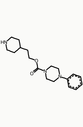 O=C(OCCC1CCNCC1)N1CCN(c2ccccc2)CC1